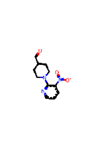 O=CC1CCN(c2ncccc2[N+](=O)[O-])CC1